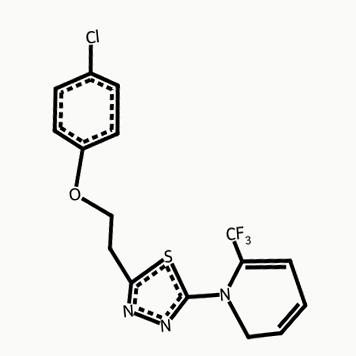 FC(F)(F)C1=CC=CCN1c1nnc(CCOc2ccc(Cl)cc2)s1